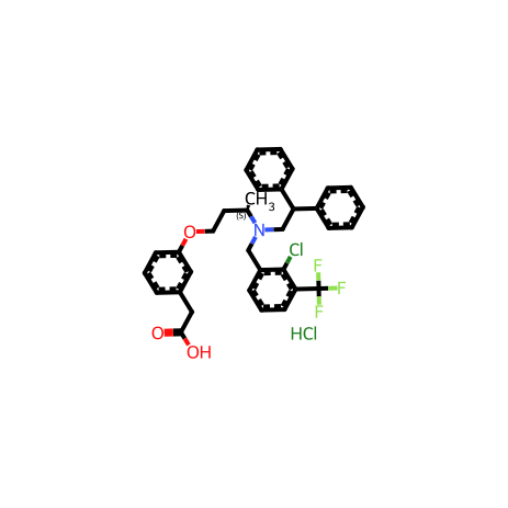 C[C@@H](CCOc1cccc(CC(=O)O)c1)N(Cc1cccc(C(F)(F)F)c1Cl)CC(c1ccccc1)c1ccccc1.Cl